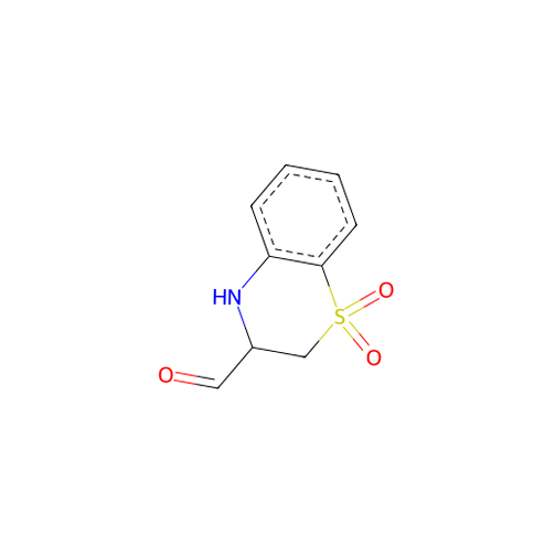 O=CC1CS(=O)(=O)c2ccccc2N1